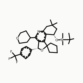 CC1(C)Cc2nc(C3CCOCC3)c3c(c2[C@@H](O[Si](C)(C)C(C)(C)C)C1)C1(CCCC1)O[C@@H]3c1ccc(C(F)(F)F)cc1